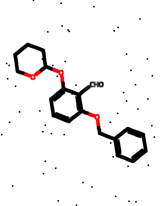 O=Cc1c(OCc2ccccc2)cccc1OC1CCCCO1